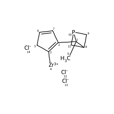 CC1(C2=[C]([Zr+3])CC=C2)C2CP1C2.[Cl-].[Cl-].[Cl-]